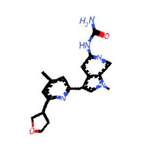 Cc1cc(-c2cn(C)c3cnc(NC(N)=O)cc23)nc(C2CCOC2)c1